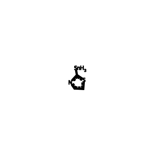 [SnH3][c]1nccs1